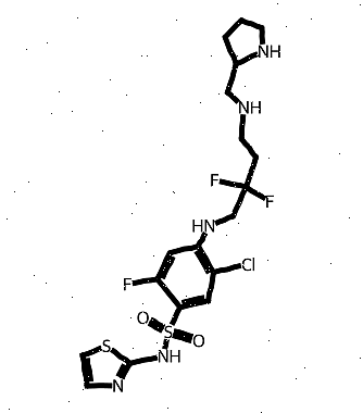 O=S(=O)(Nc1nccs1)c1cc(Cl)c(NCC(F)(F)CCNCC2CCCN2)cc1F